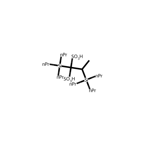 CCC[Si](CCC)(CCC)C(C)C([Si](CCC)(CCC)CCC)(S(=O)(=O)O)S(=O)(=O)O